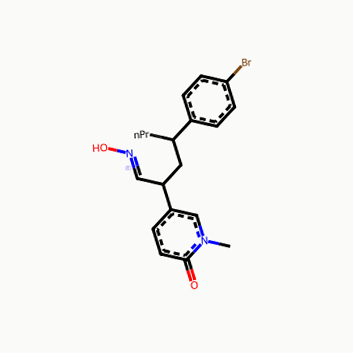 CCCC(CC(/C=N/O)c1ccc(=O)n(C)c1)c1ccc(Br)cc1